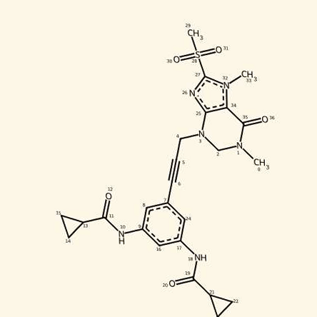 CN1CN(CC#Cc2cc(NC(=O)C3CC3)cc(NC(=O)C3CC3)c2)c2nc(S(C)(=O)=O)n(C)c2C1=O